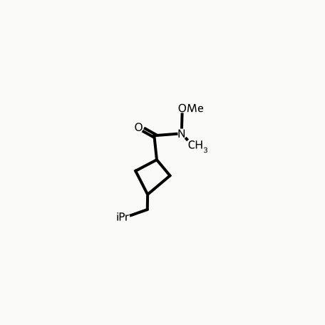 CON(C)C(=O)C1CC(CC(C)C)C1